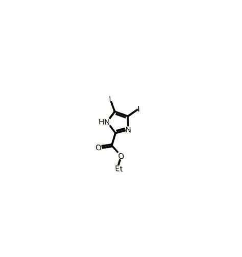 CCOC(=O)c1nc(I)c(I)[nH]1